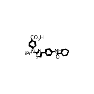 CC(C)N(c1ccc(C(=O)O)cc1)c1nc(-c2ccc(NC(=O)C3CCCCC3)cc2)cs1